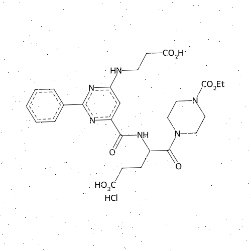 CCOC(=O)N1CCN(C(=O)C(CCC(=O)O)NC(=O)c2cc(NCCC(=O)O)nc(-c3ccccc3)n2)CC1.Cl